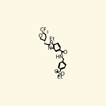 CCn1c(C[C@H]2CC[C@@H](C(F)(F)F)OC2)nc2cc(C(=O)NCc3ccc(S(=O)(=O)CC)cc3)ccc21